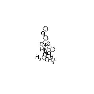 CC(C)(C)OC(=O)N[C@H](C(=O)N1CCC[C@H]1c1cccc(Oc2ccccc2)c1)C1CCCCC1